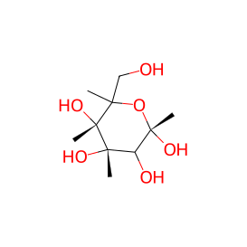 CC1(CO)O[C@](C)(O)C(O)[C@](C)(O)[C@]1(C)O